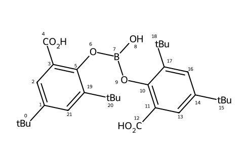 CC(C)(C)c1cc(C(=O)O)c(OB(O)Oc2c(C(=O)O)cc(C(C)(C)C)cc2C(C)(C)C)c(C(C)(C)C)c1